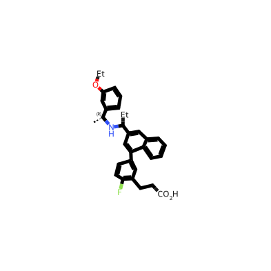 CCOc1cccc([C@@H](C)NC(CC)c2cc(-c3ccc(F)c(CCC(=O)O)c3)c3ccccc3c2)c1